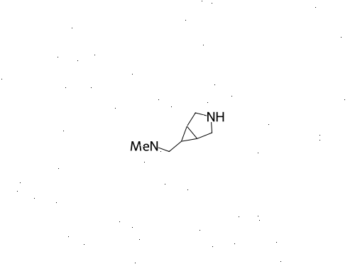 CNCC1C2CNCC12